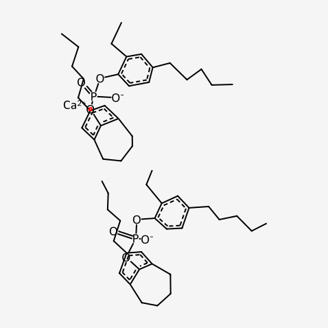 CCCCCc1ccc(OP(=O)([O-])Oc2c3cc(CCCCC)cc2CCCC3)c(CC)c1.CCCCCc1ccc(OP(=O)([O-])Oc2c3cc(CCCCC)cc2CCCC3)c(CC)c1.[Ca+2]